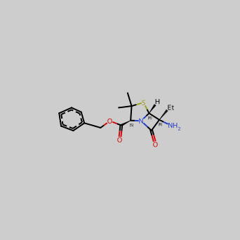 CC[C@@]1(N)C(=O)N2[C@@H](C(=O)OCc3ccccc3)C(C)(C)S[C@@H]21